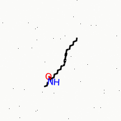 CCCCCCCC#CC#CCCCCCCCC(=O)NCCC